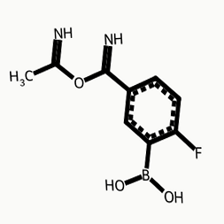 CC(=N)OC(=N)c1ccc(F)c(B(O)O)c1